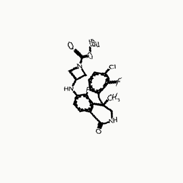 CC(C)(C)OC(=O)N1CC(Nc2ccc3c(c2F)C(C)(c2cccc(Cl)c2F)CNC3=O)C1